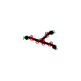 O=C(C=Cc1ccc(F)cc1)OCCCCCC(=O)OCC(COC(=O)CCCCCOC(=O)C=Cc1ccc(F)cc1)OC(=O)CCCCCOC(=O)C=Cc1ccc(F)cc1